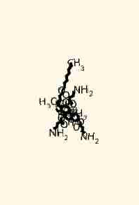 CCCCCCCCOC(=O)CC[C@@H](C)[C@H]1CC[C@H]2[C@@H]3[C@H](OC(=O)CCCN)C[C@@H]4C[C@H](OC(=O)CCCN)CC[C@]4(C)[C@H]3C[C@H](OC(=O)CCCN)[C@]12C